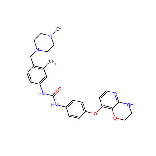 CCN1CCN(Cc2ccc(NC(=O)Nc3ccc(Oc4ccnc5c4OCCN5)cc3)cc2C(F)(F)F)CC1